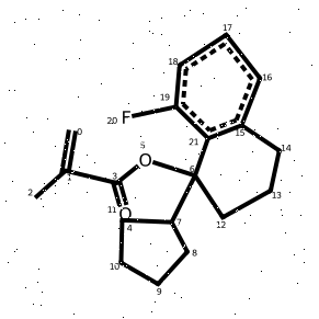 C=C(C)C(=O)OC1(C2CCCC2)CCCc2cccc(F)c21